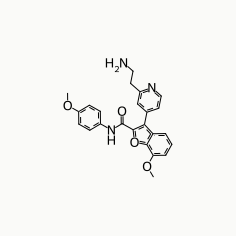 COc1ccc(NC(=O)c2oc3c(OC)cccc3c2-c2ccnc(CCN)c2)cc1